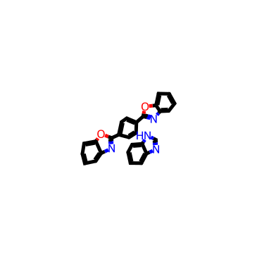 c1ccc2[nH]cnc2c1.c1ccc2oc(-c3ccc(-c4nc5ccccc5o4)cc3)nc2c1